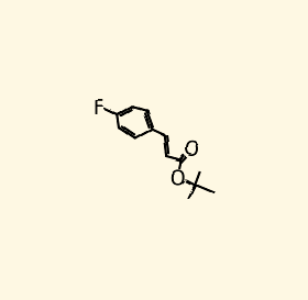 CC(C)(C)OC(=O)C=Cc1ccc(F)cc1